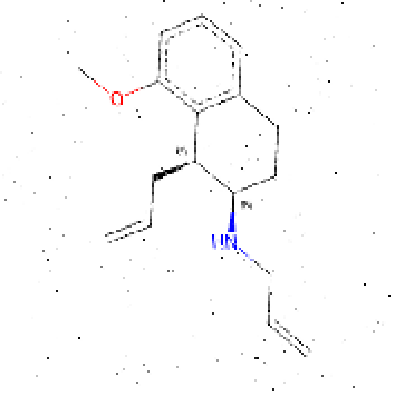 C=CCN[C@@H]1CCc2cccc(OC)c2[C@@H]1CC=C